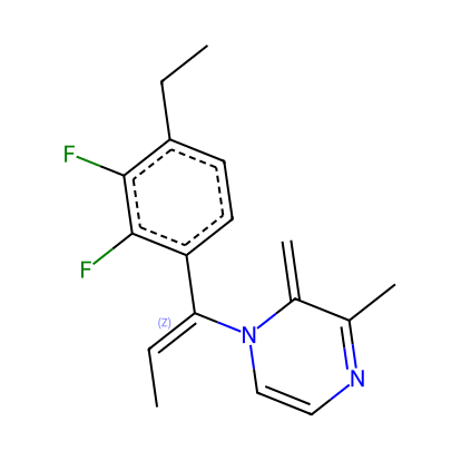 C=C1C(C)=NC=CN1/C(=C\C)c1ccc(CC)c(F)c1F